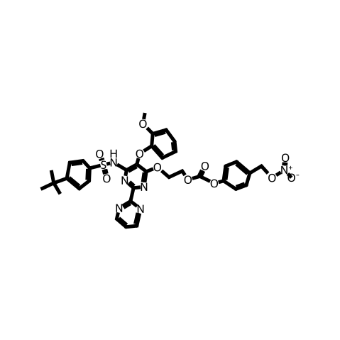 COc1ccccc1Oc1c(NS(=O)(=O)c2ccc(C(C)(C)C)cc2)nc(-c2ncccn2)nc1OCCOC(=O)Oc1ccc(CO[N+](=O)[O-])cc1